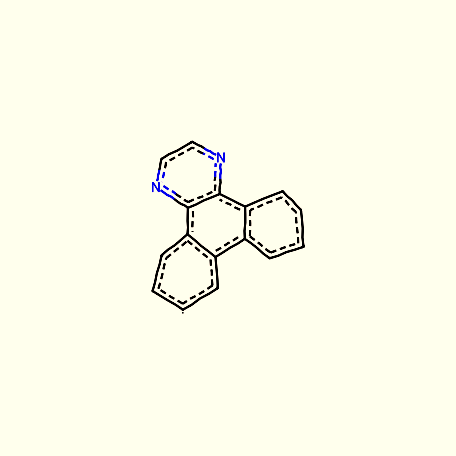 [c]1ccc2c(c1)c1ccccc1c1nccnc21